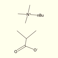 CC(C)C(=O)[O-].CCCC[N+](C)(C)C